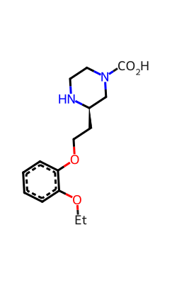 CCOc1ccccc1OCC[C@@H]1CN(C(=O)O)CCN1